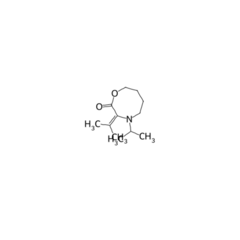 CC(C)=C1C(=O)OCCCCN1C(C)C